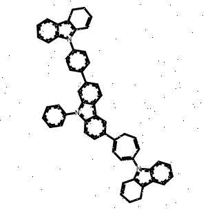 C1=Cc2c(c3ccccc3n2C2=CC=C(c3ccc4c(c3)c3ccc(-c5ccc(-n6c7c(c8ccccc86)CCC=C7)cc5)cc3n4-c3ccccc3)CC=C2)CC1